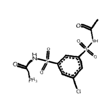 CC(=O)NS(=O)(=O)c1cc(Cl)cc(S(=O)(=O)NC(=O)P)c1